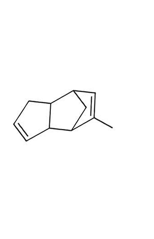 CC1=CC2CC1C1C=CCC21